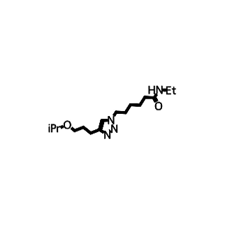 CCNC(=O)CCCCCn1cc(CCCOC(C)C)nn1